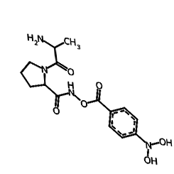 CC(N)C(=O)N1CCCC1C(=O)NOC(=O)c1ccc(N(O)O)cc1